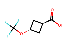 O=C(O)[C@H]1C[C@H](OC(F)(F)F)C1